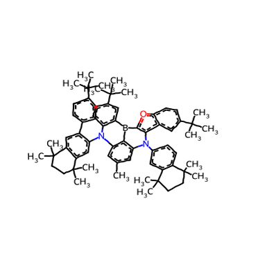 Cc1cc2c3c(c1)N(c1ccc4c(c1)C(C)(C)CCC4(C)C)c1c(oc4ccc(C(C)(C)C)cc14)B3c1cc(C(C)(C)C)ccc1N2c1cc2c(cc1-c1ccc(C(C)(C)C)cc1)C(C)(C)CCC2(C)C